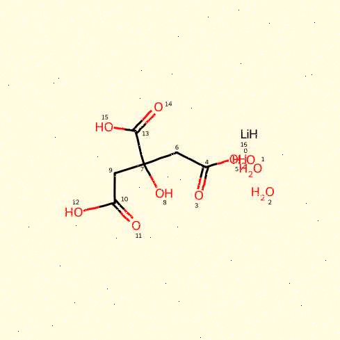 O.O.O.O=C(O)CC(O)(CC(=O)O)C(=O)O.[LiH]